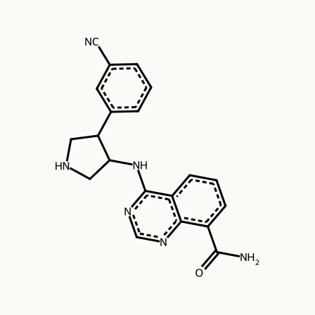 N#Cc1cccc(C2CNCC2Nc2ncnc3c(C(N)=O)cccc23)c1